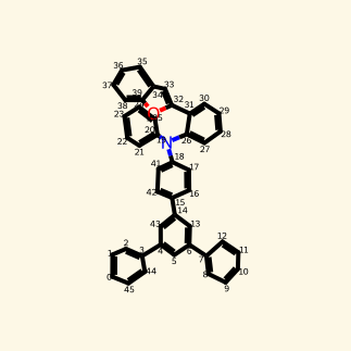 c1ccc(-c2cc(-c3ccccc3)cc(-c3ccc(N(c4ccccc4)c4ccccc4-c4cc5ccccc5o4)cc3)c2)cc1